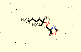 CCCCCC(C)(CC)OCc1cocn1